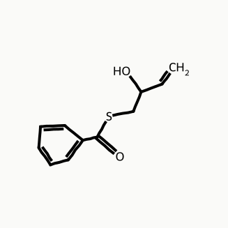 C=CC(O)CSC(=O)c1ccccc1